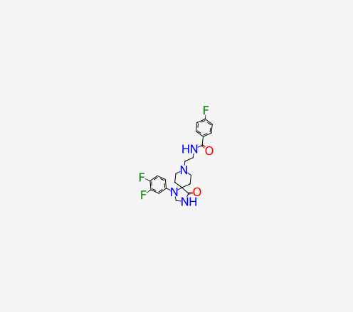 O=C(NCCN1CCC2(CC1)C(=O)NCN2c1ccc(F)c(F)c1)c1ccc(F)cc1